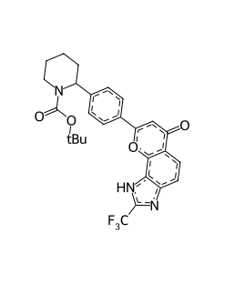 CC(C)(C)OC(=O)N1CCCCC1c1ccc(-c2cc(=O)c3ccc4nc(C(F)(F)F)[nH]c4c3o2)cc1